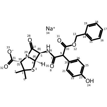 CC1(C)S[C@@H]2[C@H](NC(=O)C(C(=O)OCc3ccccc3)c3ccc(O)cc3)C(=O)N2[C@H]1C(=O)[O-].[Na+]